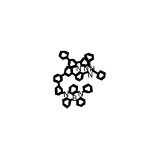 c1ccc(-c2ccc3c(c2)c2ccccc2n3-c2c(-c3cccc(-c4cccc(-c5cccc(N6c7ccccc7B7c8ccccc8N(c8ccccc8)c8cccc6c87)c5)c4)c3)cccc2-c2nc(-c3ccccc3)nc(-c3ccccc3)n2)cc1